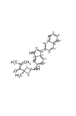 CN(C)C(=O)[C@]1(C)C[C@@H](Nc2ncc3c(-c4ccc5nccnc5c4)c[nH]c3n2)C1